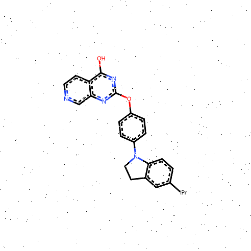 CC(C)c1ccc2c(c1)CCN2c1ccc(Oc2nc(O)c3ccncc3n2)cc1